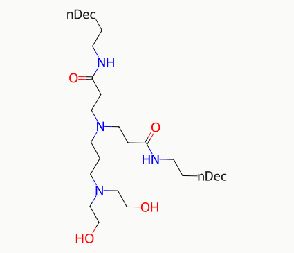 CCCCCCCCCCCCNC(=O)CCN(CCCN(CCO)CCO)CCC(=O)NCCCCCCCCCCCC